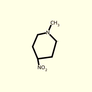 CN1[CH]CC([N+](=O)[O-])CC1